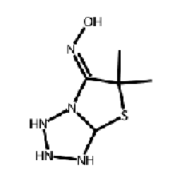 CC1(C)SC2NNNN2C1=NO